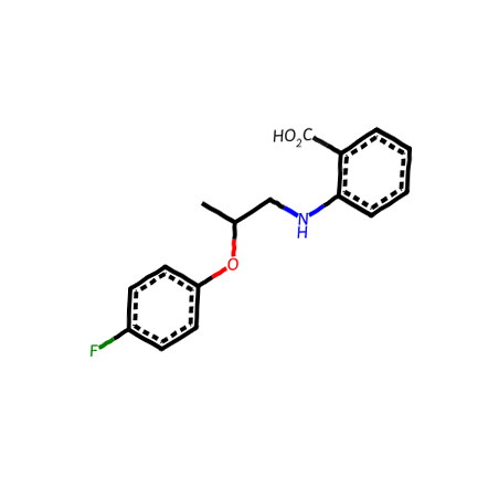 CC(CNc1ccccc1C(=O)O)Oc1ccc(F)cc1